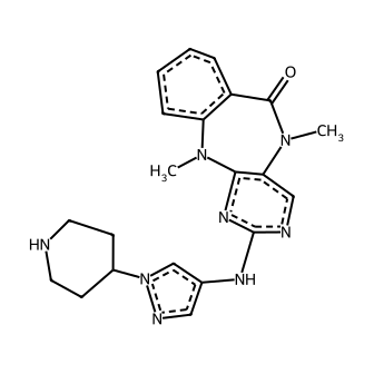 CN1C(=O)c2ccccc2N(C)c2nc(Nc3cnn(C4CCNCC4)c3)ncc21